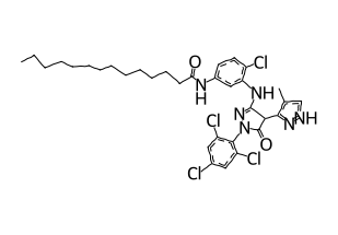 CCCCCCCCCCCCCC(=O)Nc1ccc(Cl)c(NC2=NN(c3c(Cl)cc(Cl)cc3Cl)C(=O)C2c2n[nH]cc2C)c1